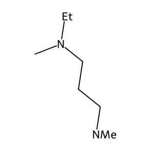 CCN(C)CCCNC